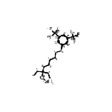 CCC(CC)(CCCCCCc1cc(C(F)(F)F)cc(C(F)(F)F)c1)O[SiH3]